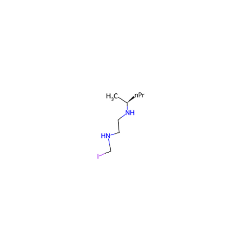 CCC[C@H](C)NCCNCI